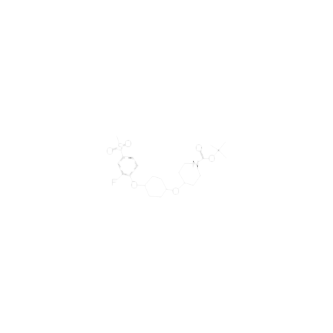 CC(C)(C)OC(=O)N1CCC(OC2CCC(Oc3ccc(S(C)(=O)=O)cc3F)CC2)CC1